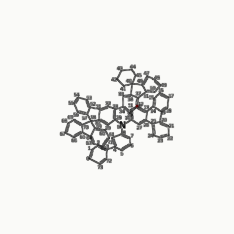 c1ccc(-c2cccc(N(c3ccc4c5ccccc5c5ccccc5c4c3)c3cc4c(cc3-c3ccc5c(c3)C3(CCCCC3)c3ccccc3-5)-c3ccccc3C43c4ccccc4-c4ccccc43)c2)cc1